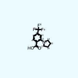 O=C(O)c1ccc(C(F)(F)F)cc1N1CCCC1